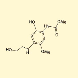 COC(=O)Nc1cc(OC)c(NCCO)cc1O